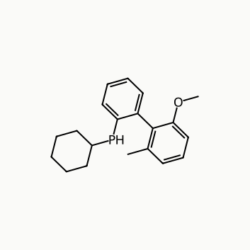 COc1cccc(C)c1-c1ccccc1PC1CCCCC1